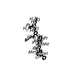 CC[C@H](C)[C@@H]([C@@H](CC(=O)N1CCC[C@H]1[C@H](OC)[C@@H](C)C(=O)N[C@H](C)[C@@H](O)c1ccccc1)OC)N(C)C(=O)[C@@H](NC(=O)[C@H](C(C)C)N(C)C(=O)OCc1ccc(NC(=O)[C@H](CCCNC(N)=O)NC(=O)[C@@H](N)C(C)C)cc1C(=O)NCCCN(C)C)C(C)C